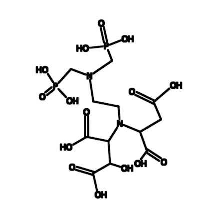 O=C(O)CC(C(=O)O)N(CCN(CP(=O)(O)O)CP(=O)(O)O)C(C(=O)O)C(O)C(=O)O